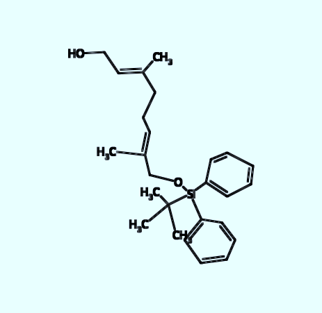 CC(=CCO)CCC=C(C)CO[Si](c1ccccc1)(c1ccccc1)C(C)(C)C